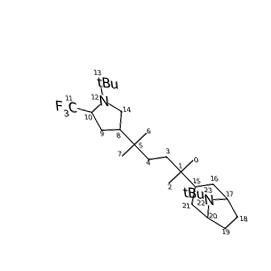 CC(C)(CCC(C)(C)C1CC(C(F)(F)F)N(C(C)(C)C)C1)C1CC2CCC(C1)N2C(C)(C)C